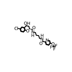 O=C(NCCCCNC(=O)[C@@H]1C[C@H](O)c2cc(Cl)ccc2O1)c1ccc(OC(F)(F)F)cn1